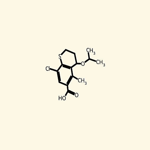 Cc1c(C(=O)O)cc(Cl)c2c1C(OC(C)C)CCS2